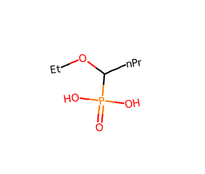 CCCC(OCC)P(=O)(O)O